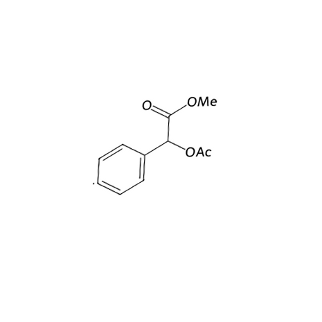 COC(=O)C(OC(C)=O)c1cc[c]cc1